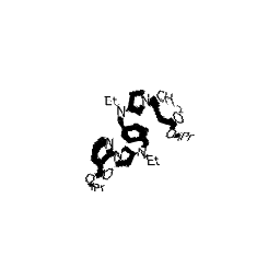 C=C(CC(=O)OC(C)C)N1CC[C@@H](N(CC)Cc2ccc(CN(CC)[C@@H]3CCN(c4ncccc4C(=O)OC(C)C)C3)cc2)C1